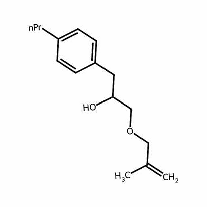 C=C(C)COCC(O)Cc1ccc(CCC)cc1